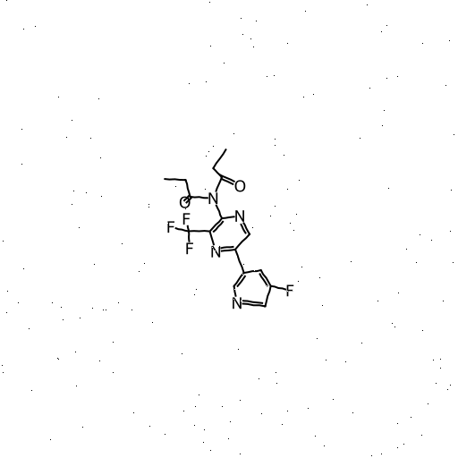 CCC(=O)N(C(=O)CC)c1ncc(-c2cncc(F)c2)nc1C(F)(F)F